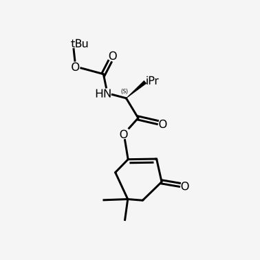 CC(C)[C@H](NC(=O)OC(C)(C)C)C(=O)OC1=CC(=O)CC(C)(C)C1